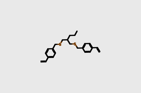 C=Cc1ccc(CSCC(CCC)CSCc2ccc(C=C)cc2)cc1